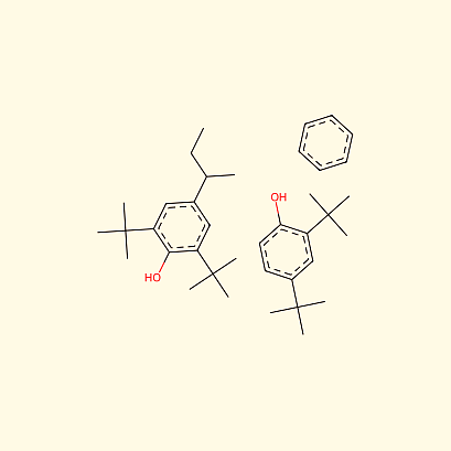 CC(C)(C)c1ccc(O)c(C(C)(C)C)c1.CCC(C)c1cc(C(C)(C)C)c(O)c(C(C)(C)C)c1.c1ccccc1